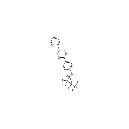 CC(F)(F)C(F)(F)C(F)(F)S(=O)(=O)Oc1ccc(C2OCC(c3ccccc3)CO2)cc1